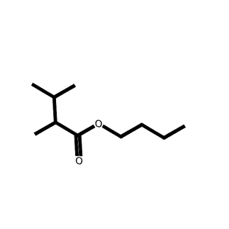 CCCCOC(=O)C(C)C(C)C